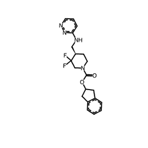 O=C(OC1Cc2ccccc2C1)N1CC[C@H](CNc2cccnn2)C(F)(F)C1